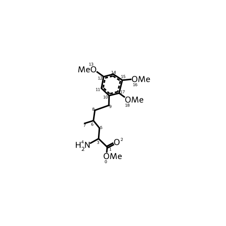 COC(=O)C(N)CC(C)CCc1cc(OC)cc(OC)c1OC